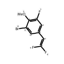 COc1c(F)cc(C=C(F)F)cc1Br